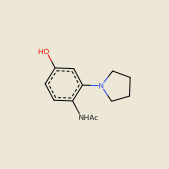 CC(=O)Nc1ccc(O)cc1N1CCCC1